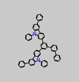 c1ccc(-c2cccc(-c3cc(-c4ccc5c6cc(-c7ccccc7)ccc6n(-c6ccccc6)c5c4)cc(-c4ccc5c6cc(-c7ccccc7)ccc6n(-c6ccccc6)c5c4)c3)c2)cc1